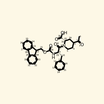 CC(=O)C1CCN(C(=O)[C@H](Cc2ccccc2)NC(=O)OCC2c3ccccc3-c3ccccc32)[C@H](C(=O)O)C1